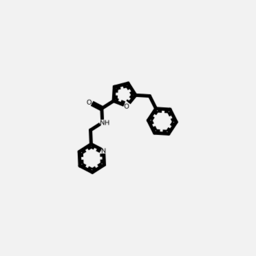 O=C(NCc1ccccn1)c1ccc(Cc2ccccc2)o1